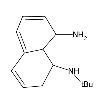 CC(C)(C)NC1CC=CC2=CC=CC(N)C21